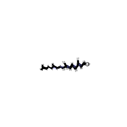 CC(C)=CCC/C(C)=C/C=C/C(C)=C/C=C/C(C)=C/C=O